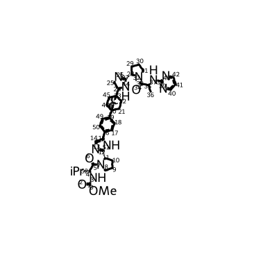 COC(=O)N[C@H](C(=O)N1CCC[C@H]1c1ncc(-c2ccc(C34CCC(C5CN=C([C@@H]6CCCN6C(=O)C(C)Nc6ncccn6)N5)(CC3)CC4)cc2)[nH]1)C(C)C